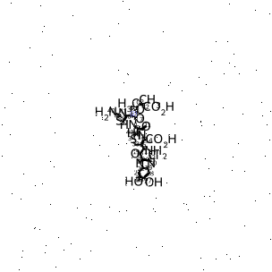 CC(C)(O/N=C(\C(=O)NC1C(=O)N2C(C(=O)O)=C(C(N)C(=O)c3nc4cc(O)c(O)cc4nc3Cl)CS[C@H]12)c1csc(N)n1)C(=O)O